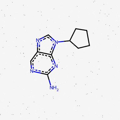 Nc1ncc2ncn(C3CCCC3)c2n1